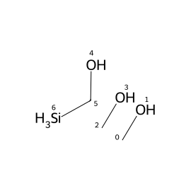 CO.CO.OC[SiH3]